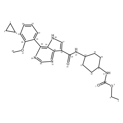 C1CC1.CCOC(=O)NC1CCC(NC(=O)c2c[nH]c3c(-c4ccccc4OC)ncnc23)CC1